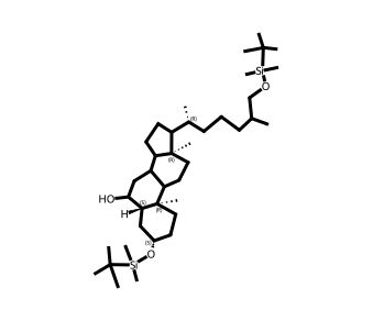 CC(CCC[C@@H](C)C1CCC2C3CC(O)[C@H]4C[C@@H](O[Si](C)(C)C(C)(C)C)CC[C@]4(C)C3CC[C@@]21C)CO[Si](C)(C)C(C)(C)C